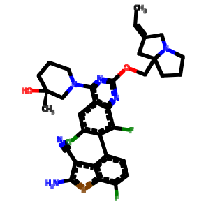 C/C=C1\CN2CCCC2(COc2nc(N3CCC[C@@](C)(O)C3)c3cc(Cl)c(-c4ccc(F)c5sc(N)c(C#N)c45)c(F)c3n2)C1